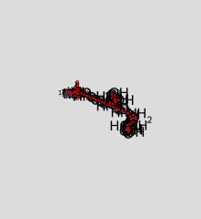 CCCc1cc2c(cc1C)C(c1ccccc1C(=O)N(C)CCCC(=O)NCCOCCOCCOCCOCCC(=O)NC(CCCSSCCC(=O)NCC#Cc1cn([C@H]3CC(O)[C@@H](COP(=O)(O)OP(=O)(O)OP(=O)(O)O)O3)c3ncnc(N)c13)C(=O)NC(CC(=O)O)C(=O)NC(CC(=O)O)C(=O)O)C1C=C(C)/C(=N/CC)C=C1C2